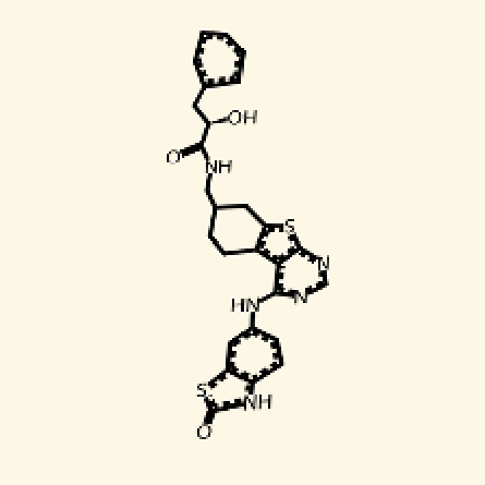 O=C(NCC1CCc2c(sc3ncnc(Nc4ccc5[nH]c(=O)sc5c4)c23)C1)[C@H](O)Cc1ccccc1